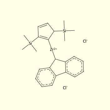 C[Si](C)(C)C1=[C]([Zr+2][CH]2c3ccccc3-c3ccccc32)C([Si](C)(C)C)C=C1.[Cl-].[Cl-]